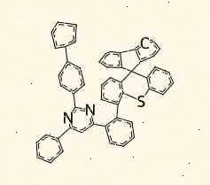 c1ccc(-c2ccc(-c3nc(-c4ccccc4)cc(-c4ccccc4-c4cccc5c4Sc4ccccc4C54c5ccccc5-c5ccccc54)n3)cc2)cc1